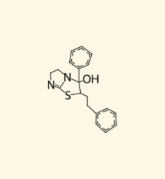 OC1(c2ccccc2)C(CCc2ccccc2)SC2=NCCN21